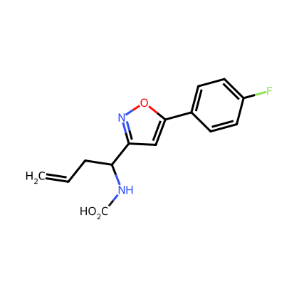 C=CCC(NC(=O)O)c1cc(-c2ccc(F)cc2)on1